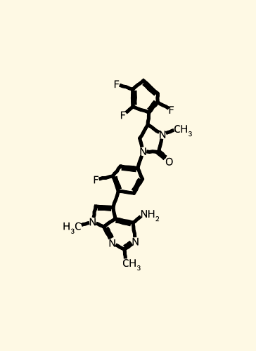 Cc1nc(N)c2c(-c3ccc(N4CC(c5c(F)ccc(F)c5F)N(C)C4=O)cc3F)cn(C)c2n1